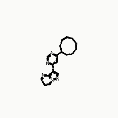 c1cnc2c(-c3cc(C4CCCCCCCC4)ncn3)cnn2c1